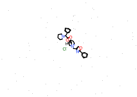 O=C(O[C@H]1C[N+]2(Cc3coc(-c4ccccc4)n3)CCC1CC2)C(c1ccccc1)N1CCCCC1.[Cl-]